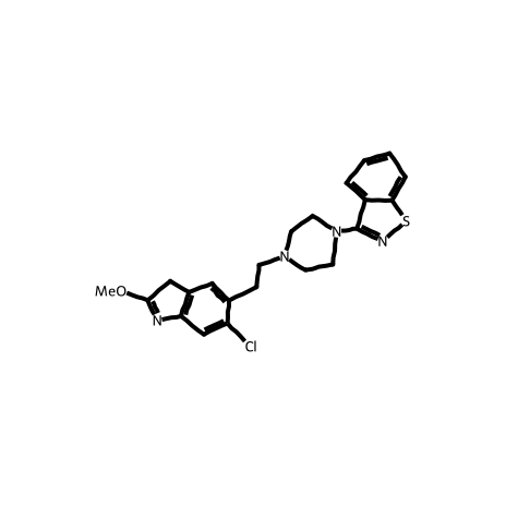 COC1=Nc2cc(Cl)c(CCN3CCN(c4nsc5ccccc45)CC3)cc2C1